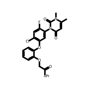 CCCC(=O)COc1ccccc1Oc1cc(-n2c(=O)cc(C)n(C)c2=O)c(F)cc1Cl